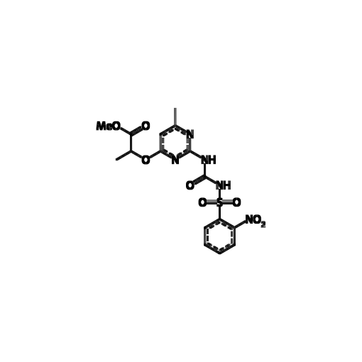 COC(=O)C(C)Oc1cc(C)nc(NC(=O)NS(=O)(=O)c2ccccc2[N+](=O)[O-])n1